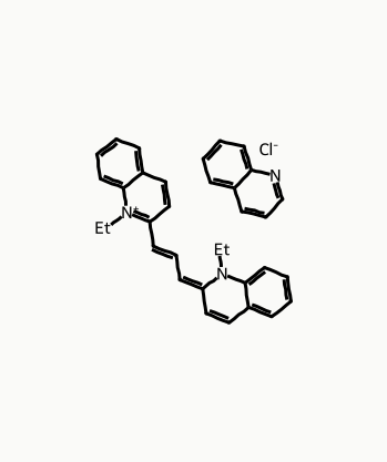 CCN1C(=CC=Cc2ccc3ccccc3[n+]2CC)C=Cc2ccccc21.[Cl-].c1ccc2ncccc2c1